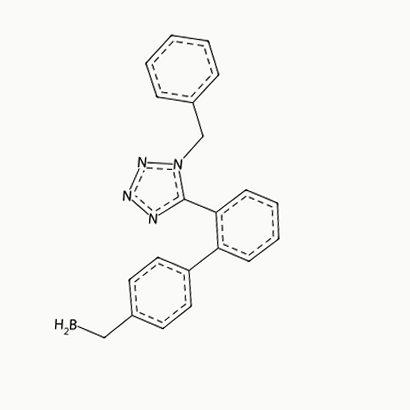 BCc1ccc(-c2ccccc2-c2nnnn2Cc2ccccc2)cc1